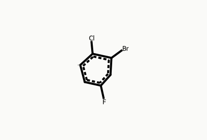 Fc1c[c]c(Cl)c(Br)c1